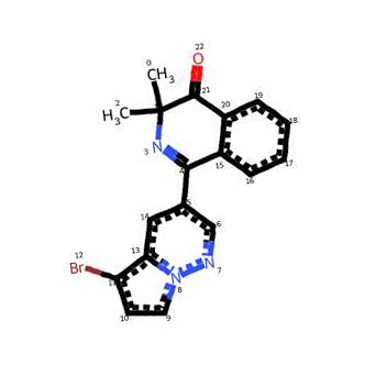 CC1(C)N=C(c2cnn3ccc(Br)c3c2)c2ccccc2C1=O